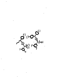 CC(C)(C#N)C(=C1CN(C(c2ccc(Cl)cc2)c2ccc(Cl)cc2)C1)c1cc(F)cc(F)c1.CCCCC(c1ccc(Cl)cc1)N1CC(C(c2cc(F)cc(F)c2)C(C)(C)O)C1